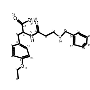 CCOc1ccc(CC(NC(=O)CCSCc2ccccc2)C(=O)O)cc1